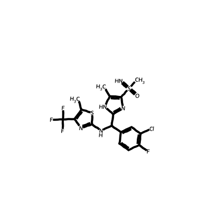 Cc1[nH]c(C(Nc2nc(C(F)(F)F)c(C)s2)c2ccc(F)c(Cl)c2)nc1S(C)(=N)=O